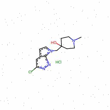 CN1CCC(O)(Cn2ccc3cc(Cl)nnc32)CC1.Cl